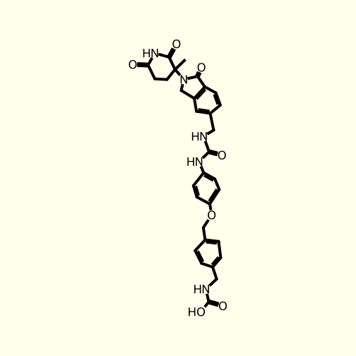 CC1(N2Cc3cc(CNC(=O)Nc4ccc(OCc5ccc(CNC(=O)O)cc5)cc4)ccc3C2=O)CCC(=O)NC1=O